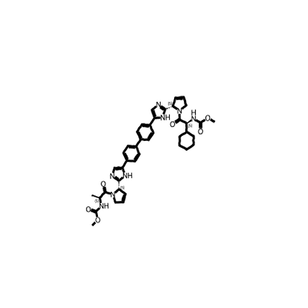 COC(=O)N[C@@H](C)C(=O)N1CC=C[C@H]1c1ncc(-c2ccc(-c3ccc(-c4cnc([C@@H]5C=CCN5C(=O)[C@@H](NC(=O)OC)C5CCCCC5)[nH]4)cc3)cc2)[nH]1